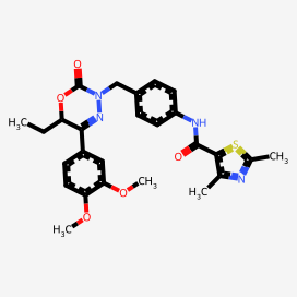 CCC1OC(=O)N(Cc2ccc(NC(=O)c3sc(C)nc3C)cc2)N=C1c1ccc(OC)c(OC)c1